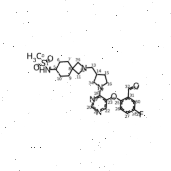 CS(=O)(=O)NC1CCC2(CC1)CN(CC1CCN(c3ncncc3Oc3ccc(F)cc3C=O)C1)C2